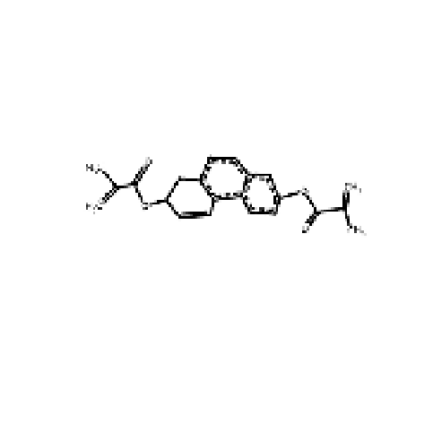 C=C(C)C(=O)Oc1ccc2c3c(ccc2c1)CC(OC(=O)C(=C)C)C=C3